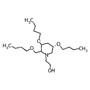 CCCCOCC1[C@@H](OCCCC)C[C@H](OCCCC)CN1CCO